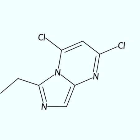 CCc1ncc2nc(Cl)cc(Cl)n12